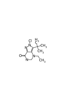 CCN1C[N]C(=O)c2nn(Cl)c(C(C)(C)C)c21